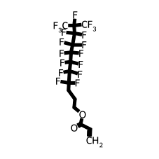 C=CC(=O)OCCCC(F)(F)C(F)(F)C(F)(F)C(F)(F)C(F)(F)C(F)(F)C(F)(C(F)(F)F)C(F)(F)F